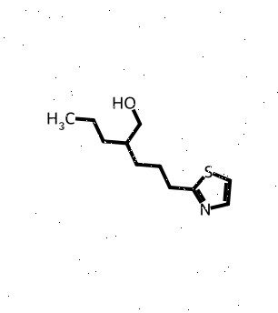 CCCC(CO)CCCc1nccs1